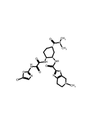 CN1CCc2nc(C(=O)N[C@@H]3C[C@@H](C(=O)N(C)C)CC[C@@H]3NC(=O)C(=O)Nc3ncc(Cl)o3)sc2C1